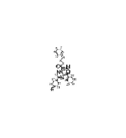 O=C(CCCc1ccccc1)Nc1ncc(-c2ccc(F)cc2)nc1C(O)c1ccccc1